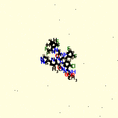 Cn1nc(NS(C)(=O)=O)c2c(Cl)ccc(-n3c([C@H](Cc4cc(F)cc(F)c4)NC(=O)Cn4nc(C(F)F)c5c4C(F)(F)[C@@H]4C[C@H]54)nc4nc(-c5ccnnc5)ccc4c3=O)c21